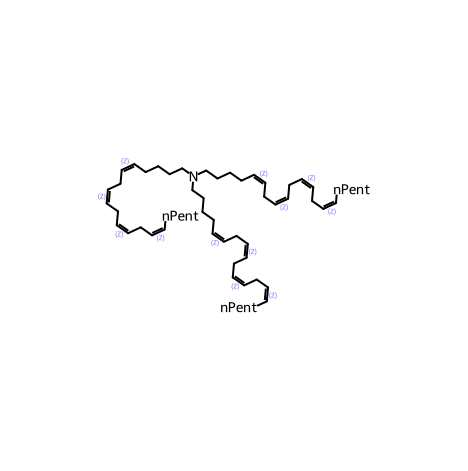 CCCCC/C=C\C/C=C\C/C=C\C/C=C\CCCCN(CCCC/C=C\C/C=C\C/C=C\C/C=C\CCCCC)CCCC/C=C\C/C=C\C/C=C\C/C=C\CCCCC